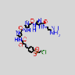 Cn1cc(NC(=O)c2cc(NC(=O)c3cc(NC(=O)C(=O)/C=C/c4ccc(S(=O)(=O)CCCl)cc4)cn3C)cn2C)cc1C(=O)NCCC(=N)N